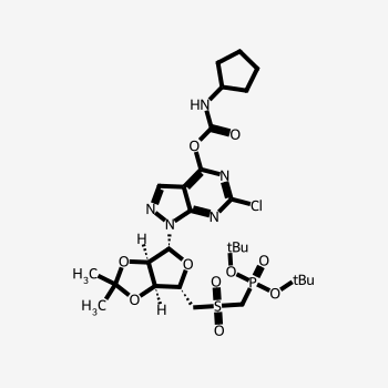 CC(C)(C)OP(=O)(CS(=O)(=O)C[C@H]1O[C@@H](n2ncc3c(OC(=O)NC4CCCC4)nc(Cl)nc32)[C@@H]2OC(C)(C)O[C@@H]21)OC(C)(C)C